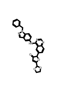 O=C1C=C(C2OCCO2)OC1c1ccc2ncnc(Nc3ccc4c(cnn4Cc4ccccc4)c3)c2c1